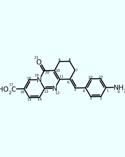 Nc1ccc(C=C2CCCc3c2nc2ccc(C(=O)O)cn2c3=O)cc1